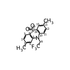 Cc1ccc2c(c1)N(CC(F)(F)F)c1ccc(C)cc1S2(=O)=O